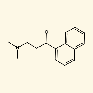 CN(C)CCC(O)c1cccc2ccccc12